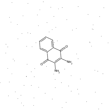 NC1=C(N)C(=O)c2ccccc2C1=O